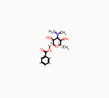 C[C@@H]1O[C@H](COC(=O)c2ccccc2)C(O)C(N(C)C)C1O